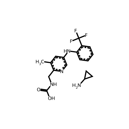 Cc1cc(Nc2ccccc2C(F)(F)F)cnc1CNC(=O)O.NC1CC1